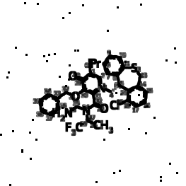 CC(C)c1cn(C[C@@H]2c3ccccc3SCc3cccc(Cl)c32)c(C(=O)N(CN)[C@H](C)C(F)(F)F)c(OCc2ccccc2)c1=O